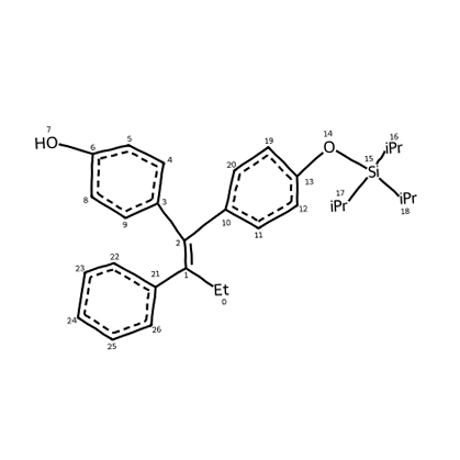 CCC(=C(c1ccc(O)cc1)c1ccc(O[Si](C(C)C)(C(C)C)C(C)C)cc1)c1ccccc1